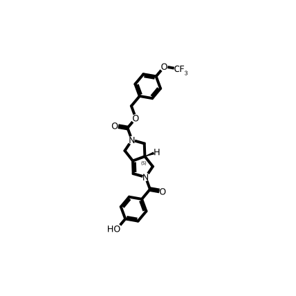 O=C(c1ccc(O)cc1)N1C=C2CN(C(=O)OCc3ccc(OC(F)(F)F)cc3)C[C@@H]2C1